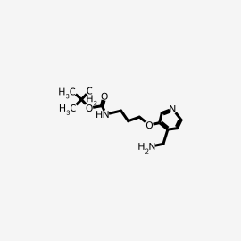 CC(C)(C)OC(=O)NCCCOc1cnccc1CN